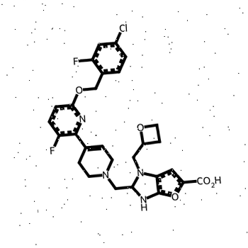 O=C(O)c1cc2c(o1)NC(CN1CC=C(c3nc(OCc4ccc(Cl)cc4F)ccc3F)CC1)N2CC1CCO1